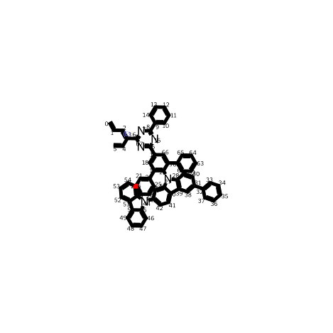 C=C/C=C(\C=C)c1nc(-c2ccccc2)nc(-c2cc(-c3ccccc3)c(-n3c4ccc(-c5ccccc5)cc4c4ccc(-n5c6ccccc6c6ccccc65)cc43)c(-c3ccccc3)c2)n1